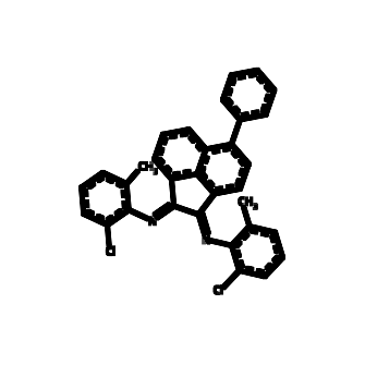 Cc1cccc(Cl)c1N=C1C(=Nc2c(C)cccc2Cl)c2ccc(-c3ccccc3)c3cccc1c23